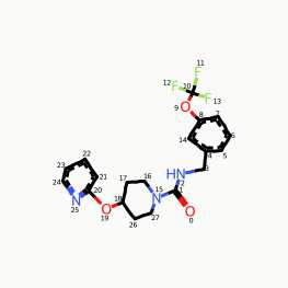 O=C(NCc1cccc(OC(F)(F)F)c1)N1CCC(Oc2ccccn2)CC1